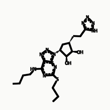 CCCCNc1nc(SCCC)nc2c1nnn2[C@@H]1C[C@H](CCc2nnn[nH]2)[C@@H](O)[C@H]1O